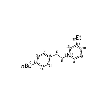 CCCCc1ccc(CC[n+]2cccc(CC)c2)cc1